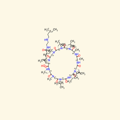 CC[C@@H](C)CCNCCNC(=O)CCC[C@@H](C)[C@@H](O)[C@H]1C(=O)N[C@@H](CC)C(=O)N(C)CC(=O)N(C)[C@@H](CC(C)C)C(=O)N[C@@H](C(C)C)C(=O)N(C)[C@@H](CC(C)C)C(=O)N[C@@H](C)C(=O)N[C@H](C)C(=O)N(C)[C@@H](CC(C)C)C(=O)N(C)[C@@H](CC(C)C)C(=O)N(C)[C@@H](C(C)C)C(=O)N1C